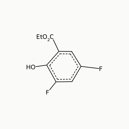 CCOC(=O)c1cc(F)cc(F)c1O